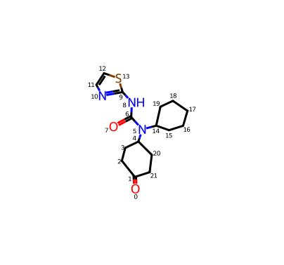 O=C1CCC(N(C(=O)Nc2nccs2)C2CCCCC2)CC1